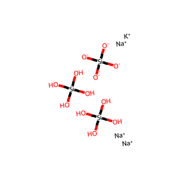 O[Si](O)(O)O.O[Si](O)(O)O.[K+].[Na+].[Na+].[Na+].[O-][Si]([O-])([O-])[O-]